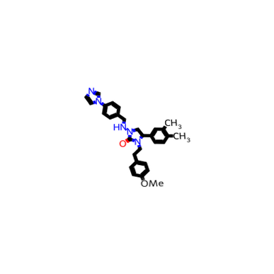 COc1ccc(CCN2C(=O)N(NCc3ccc(-n4ccnc4)cc3)CC2c2ccc(C)c(C)c2)cc1